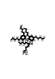 CCCCCc1cc(CCCCC)cc(N=C(CCCC)C(CCCC)=Nc2cc(CCCCC)cc(CCCCC)c2)c1.[Pd]